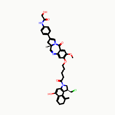 COc1cc2c(cc1OCCCCC(=O)N1C[C@@H](CCl)c3c1cc(O)c1c3=C(C)CCC=1)N=C[C@@H]1CC(c3ccc(NC(=O)CO)cc3)=CN1C2=O